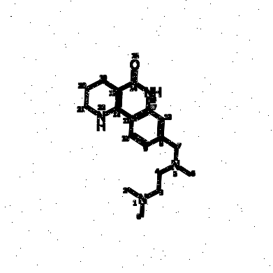 CN(C)CCN(C)Cc1ccc2c3c(c(=O)[nH]c2c1)CCCN3